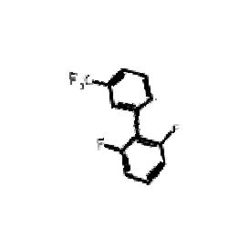 Fc1cccc(F)c1-c1[c]ccc(C(F)(F)F)c1